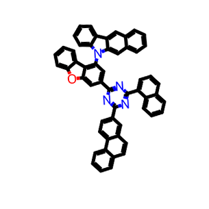 c1ccc2cc3c(cc2c1)c1ccccc1n3-c1cc(-c2nc(-c3ccc4c(ccc5ccccc54)c3)nc(-c3cccc4ccccc34)n2)cc2oc3ccccc3c12